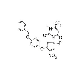 Cn1c(C(F)(F)F)cc(=O)n(-c2cc(Oc3ccc(OCc4ccccc4)cc3)c([N+](=O)[O-])cc2F)c1=O